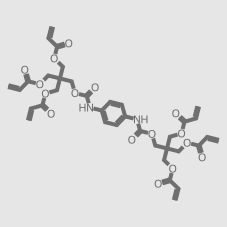 C=CC(=O)OCC(COC(=O)C=C)(COC(=O)C=C)COC(=O)Nc1ccc(NC(=O)OCC(COC(=O)C=C)(COC(=O)C=C)COC(=O)C=C)cc1